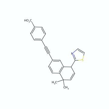 CC1(C)C=CC(c2nccs2)c2cc(C#Cc3ccc(C(=O)O)cc3)ccc21